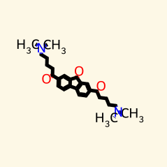 CN(C)CCCCC(=O)c1ccc2c(c1)C(=O)c1cc(C(=O)CCCCN(C)C)ccc1-2